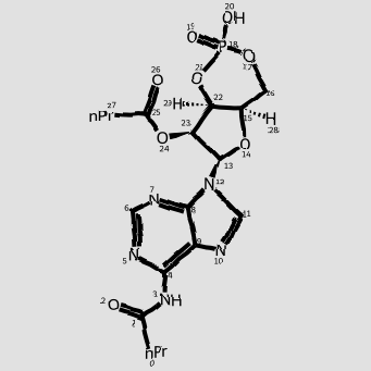 CCCC(=O)Nc1ncnc2c1ncn2[C@@H]1O[C@@H]2COP(=O)(O)O[C@@H]2[C@@H]1OC(=O)CCC